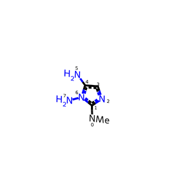 CNc1ncc(N)n1N